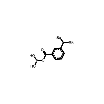 CC(C)(C)C(c1cccc(C(=O)OP(O)O)c1)C(C)(C)C